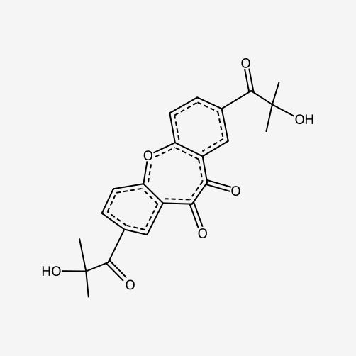 CC(C)(O)C(=O)c1ccc2oc3ccc(C(=O)C(C)(C)O)cc3c(=O)c(=O)c2c1